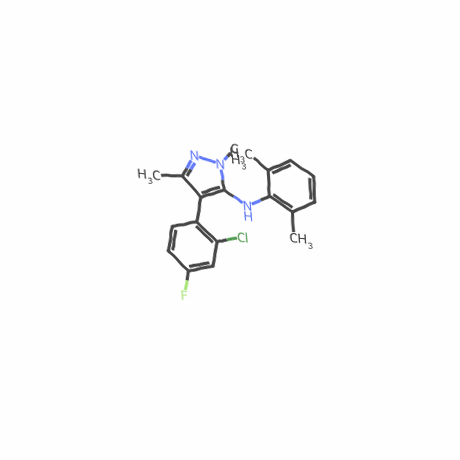 Cc1cccc(C)c1Nc1c(-c2ccc(F)cc2Cl)c(C)nn1C